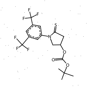 CC(C)(C)OC(=O)OC1CC(=S)N(c2cc(C(F)(F)F)cc(C(F)(F)F)c2)C1